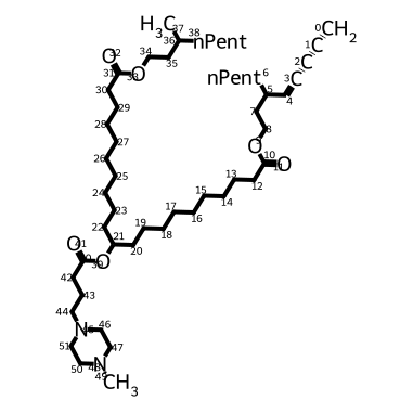 C=C=C=C=CC(CCCCC)CCOC(=O)CCCCCCCCCC(CCCCCCCCCC(=O)OCCC(C)CCCCC)OC(=O)CCCN1CCN(C)CC1